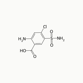 Nc1cc(Cl)c(S(N)(=O)=O)cc1C(=O)O